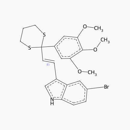 COc1cc(C2(/C=C/c3c[nH]c4ccc(Br)cc34)SCCCS2)cc(OC)c1OC